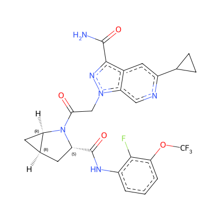 NC(=O)c1nn(CC(=O)N2[C@@H]3C[C@@H]3C[C@H]2C(=O)Nc2cccc(OC(F)(F)F)c2F)c2cnc(C3CC3)cc12